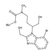 CN(CCC(CO)n1c(CO)nc2cccc(Br)c21)C(=O)OC(C)(C)C